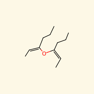 C/C=C(/CCC)O/C(=C\C)CCC